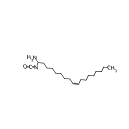 CCCCCCCC/C=C\CCCCCCCC(N)N=C=O